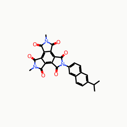 CC(C)c1ccc2cc(-n3c(=O)c4c5c(=O)n(C)c(=O)c5c5c(=O)n(C)c(=O)c5c4c3=O)ccc2c1